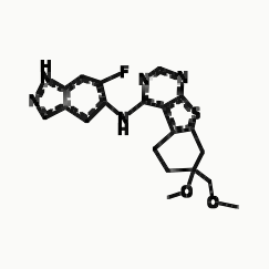 COCC1(OC)CCc2c(sc3ncnc(Nc4cc5cn[nH]c5cc4F)c23)C1